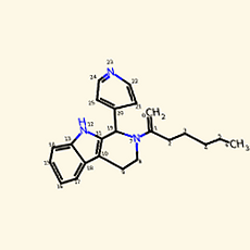 C=C(CCCCC)N1CCc2c([nH]c3ccccc23)C1c1ccncc1